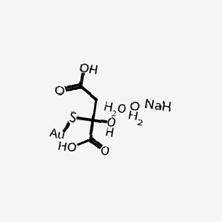 O.O.O=C(O)CC(O)([S][Au])C(=O)O.[NaH]